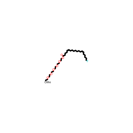 COCCOCCOCCOCCOCCOCCOC(=O)CCC/C=C\CCCCCCC/C=C\CCCCCF